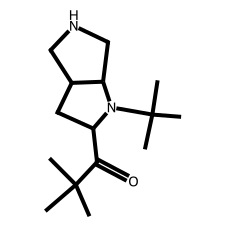 CC(C)(C)C(=O)C1CC2CNCC2N1C(C)(C)C